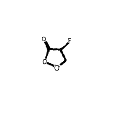 O=C1OOCC1F